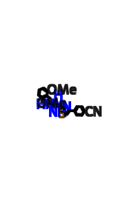 COc1cccc(OC)c1CNC(=N)Nc1nc(-c2ccc(C#N)cc2)cs1